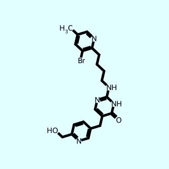 Cc1cnc(CCCCNc2ncc(Cc3ccc(CO)nc3)c(=O)[nH]2)c(Br)c1